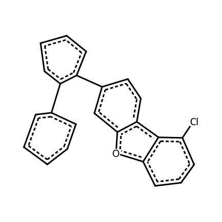 Clc1cccc2oc3cc(-c4ccccc4-c4ccccc4)ccc3c12